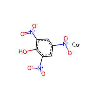 O=[N+]([O-])c1cc([N+](=O)[O-])c(O)c([N+](=O)[O-])c1.[Co]